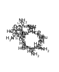 CCCCCCCC(=O)N[C@@H](CCN)C(=O)N[C@H](C(=O)N[C@@H](CCN)C(=O)N[C@H]1CCNC(=O)[C@H](CO)NC(=O)[C@H](CCN)NC(=O)[C@H](CCN)NC(=O)[C@H]([C@@H](C)CC)NC(=O)CNC(=O)[C@H](CCN)NC1=O)[C@@H](C)O